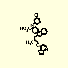 C[C@H](COc1ccnc2ccsc12)CC1Cc2ccccc2C12CCC(Nc1cccc(Cl)c1)(C(=O)O)CC2